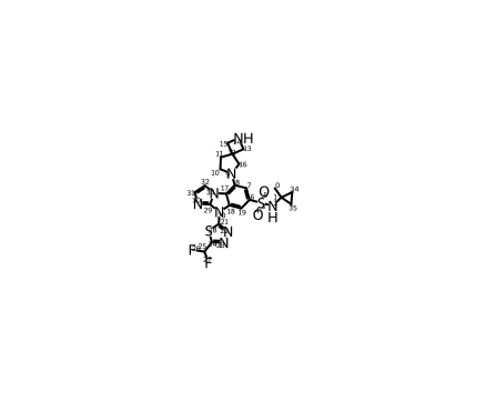 CC1(NS(=O)(=O)c2cc(N3CCC4(CNC4)C3)c3c(c2)n(-c2nnc(C(F)F)s2)c2nccn32)CC1